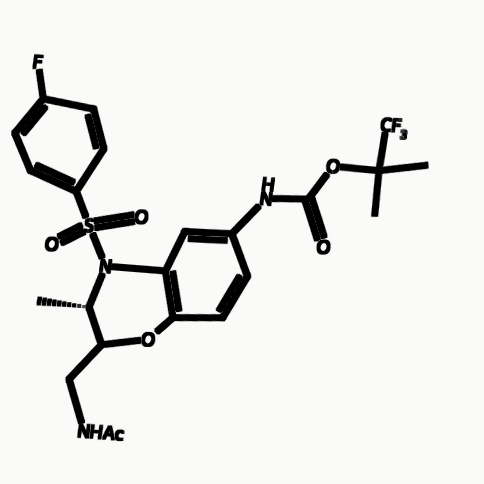 CC(=O)NCC1Oc2ccc(NC(=O)OC(C)(C)C(F)(F)F)cc2N(S(=O)(=O)c2ccc(F)cc2)[C@H]1C